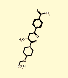 C[C@H](CC(=O)c1ccc(C(N)=S)cc1)C(=O)N1CCC(OCC(=O)O)CC1